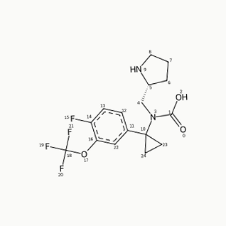 O=C(O)N(C[C@H]1CCCN1)C1(c2ccc(F)c(OC(F)(F)F)c2)CC1